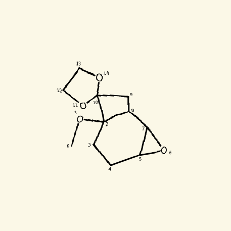 COC12CCC3OC3C1CC21OCCO1